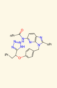 CCCC(=O)Nc1ccc2nc(CCC)n(Cc3ccc(OC(CC(C)C)c4nnn[nH]4)cc3)c2n1